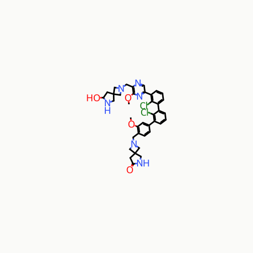 COc1cc(-c2cccc(-c3cccc(-c4cnc(CN5CC6(CNC(O)C6)C5)c(OC)n4)c3Cl)c2Cl)ccc1CN1CC2(CNC(=O)C2)C1